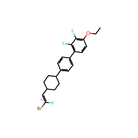 CCOc1ccc(-c2ccc(C3CCC(/C=C(\F)Br)CC3)cc2)c(F)c1F